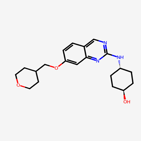 O[C@H]1CC[C@H](Nc2ncc3ccc(OCC4CCOCC4)cc3n2)CC1